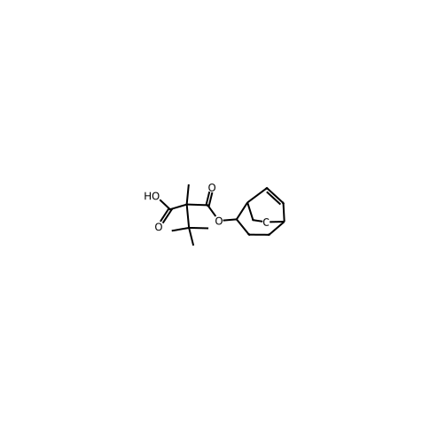 CC(C)(C)C(C)(C(=O)O)C(=O)OC1CCC2C=CC1CC2